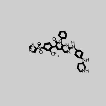 O=c1c(-c2ccc(S(=O)(=O)c3cncs3)cc2C(F)(F)F)cc2cnc(Nc3ccc(NC4CCCNC4)cc3)nc2n1-c1ccccc1